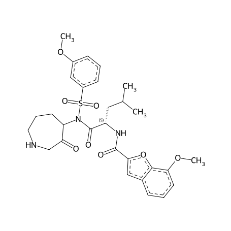 COc1cccc(S(=O)(=O)N(C(=O)[C@H](CC(C)C)NC(=O)c2cc3cccc(OC)c3o2)C2CCCNCC2=O)c1